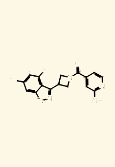 Nc1cc(C(=O)N2CC(c3n[nH]c4cc(F)cc(F)c34)C2)ccn1